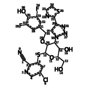 N#Cc1ncc(Cl)cc1SC1OC(CO)C(O)C(n2cc(-c3nccs3)nn2)C1OCc1cc(F)c(O)c(F)c1